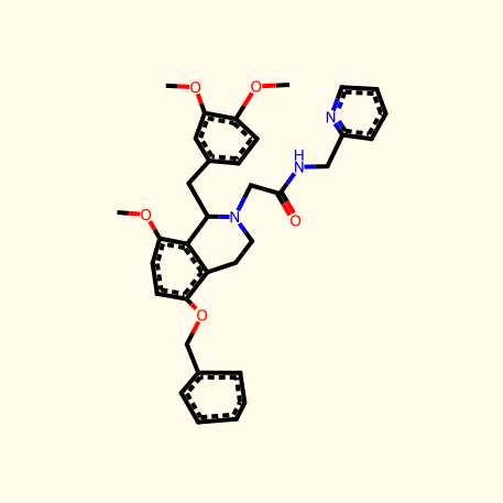 COc1ccc(CC2c3c(OC)ccc(OCc4ccccc4)c3CCN2CC(=O)NCc2ccccn2)cc1OC